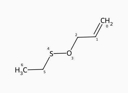 C=CCOSCC